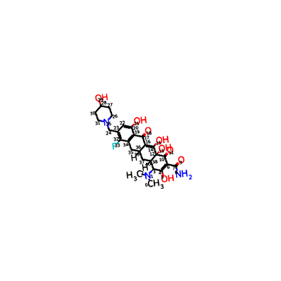 CN(C)[C@@H]1C(O)=C(C(N)=O)C(=O)[C@@]2(O)C(O)=C3C(=O)c4c(O)cc(CN5CCC(O)CC5)c(F)c4C[C@H]3C[C@@H]12